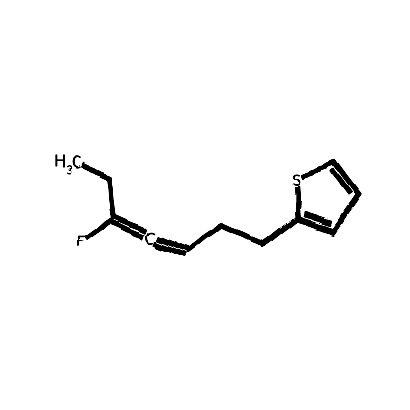 CCC(F)=C=CCCc1cccs1